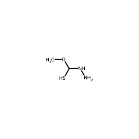 COC(S)NN